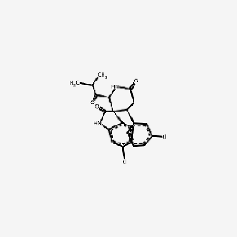 CC(C)C(=O)[C@H]1NC(=O)C[C@@H](c2cccc(Cl)c2)[C@]12C(=O)Nc1cc(Cl)ccc12